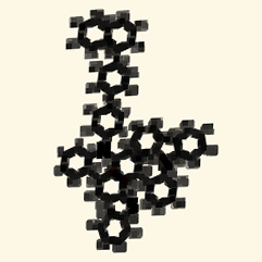 c1ccc(N(c2ccc(-c3ccc(-c4cccc5ccccc45)cc3)cc2)c2ccc(-c3ccccc3-n3c4ccccc4c4ccccc43)cc2)c(-c2ccc3sc4ccccc4c3c2)c1